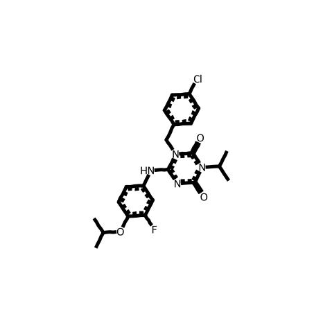 CC(C)Oc1ccc(Nc2nc(=O)n(C(C)C)c(=O)n2Cc2ccc(Cl)cc2)cc1F